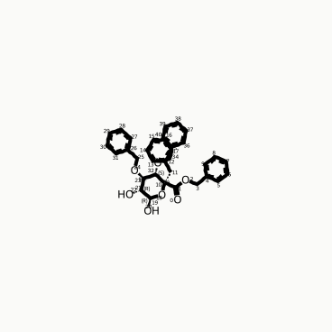 O=C(OCc1ccccc1)[C@@]1(Cc2ccccc2)O[C@@H](O)[C@H](O)[C@@H](OCc2ccccc2)[C@@H]1OCc1ccccc1